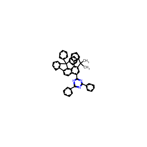 CC1(C)c2ccccc2-c2c1cc(-c1nc(-c3ccccc3)nc(-c3ccccc3)n1)c1ccc3c(c21)C(c1ccccc1)(c1ccccc1)c1ccccc1-3